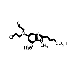 Cn1c(CCCC(=O)O)nc2cc(N(CCCl)CCCl)ccc21.O.O